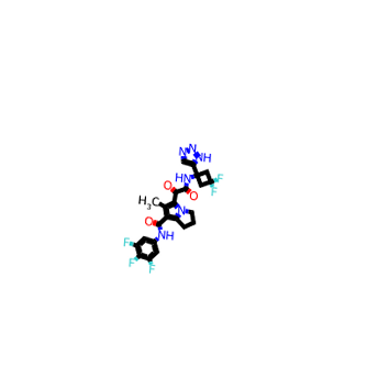 Cc1c(C(=O)Nc2cc(F)c(F)c(F)c2)c2n(c1C(=O)C(=O)NC1(c3cnn[nH]3)CC(F)(F)C1)CCC2